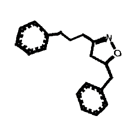 c1ccc(CCCC2=NOC(Cc3ccccc3)C2)cc1